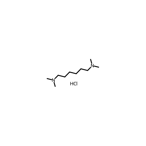 CN(C)CCCCCCN(C)C.Cl